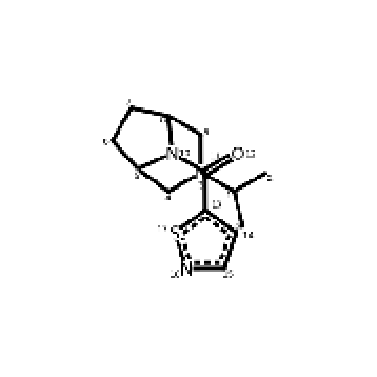 CC(C)N1CC2CCC(C1)N2C(=O)c1ccns1